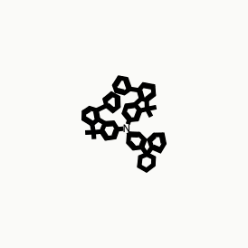 CC1(C)c2ccc(N(c3ccc(C4(c5ccccc5)CCCCC4)cc3)c3ccc4c(c3)C(C)(C)c3cccc(-c5ccccc5)c3-4)cc2-c2c(-c3ccccc3)cccc21